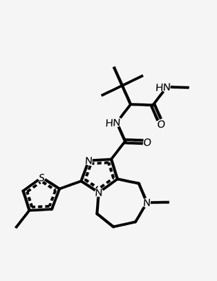 CNC(=O)C(NC(=O)c1nc(-c2cc(C)cs2)n2c1CN(C)CCC2)C(C)(C)C